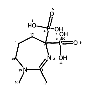 CC1=NC(P(=O)(O)O)(P(=O)(O)O)CCCN1C